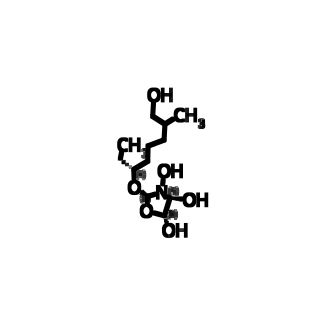 CC[C@H](CCCC(C)CO)O[C@@H]1O[C@@H](O)[C@H](O)N1O